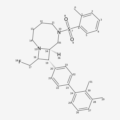 Cc1ccccc1S(=O)(=O)N1CCCCN2C(CF)[C@@H](c3ccc(-c4cccc(C)c4C)cc3)[C@@H]2C1